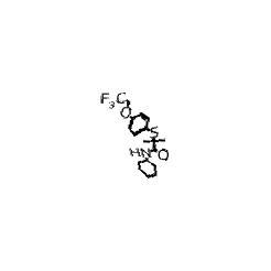 CC(C)(Sc1ccc(OCC(F)(F)F)cc1)C(=O)NC1CCCCC1